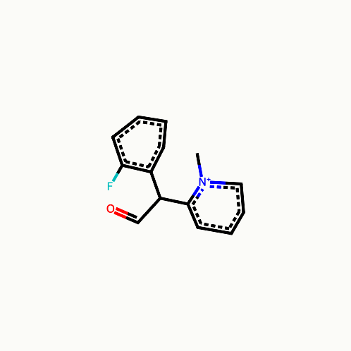 C[n+]1ccccc1C(C=O)c1ccccc1F